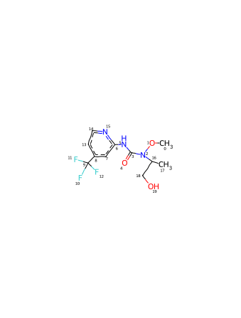 CON(C(=O)Nc1cc(C(F)(F)F)ccn1)C(C)CO